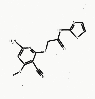 CSc1nc(N)nc(SCC(=O)Nc2nccs2)c1C#N